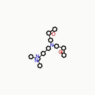 c1ccc(-c2cc(-c3ccc(-c4ccc(N(c5ccc(-c6cccc7c6oc6ccccc67)cc5)c5ccc(-c6cccc7c6oc6ccccc67)cc5)cc4)cc3)nc(-c3ccccc3)n2)cc1